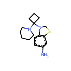 Nc1ccc2c(c1)SCN2C1(N2CCCCC2)CCC1